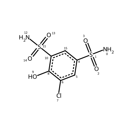 NS(=O)(=O)c1cc(Cl)c(O)c(S(N)(=O)=O)c1